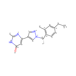 Cc1nc(-c2cnn([C@@H](C)c3ccc(CC(F)(F)F)cc3C)c2)cc(=O)[nH]1